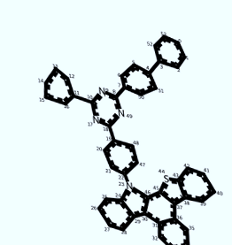 c1ccc(-c2ccc(-c3nc(-c4ccccc4)nc(-c4ccc(-n5c6ccccc6c6c7ccccc7c7c8ccccc8sc7c65)cc4)n3)cc2)cc1